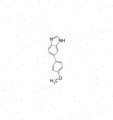 COc1ccc(-c2ccc3nc[nH]c3c2)cc1